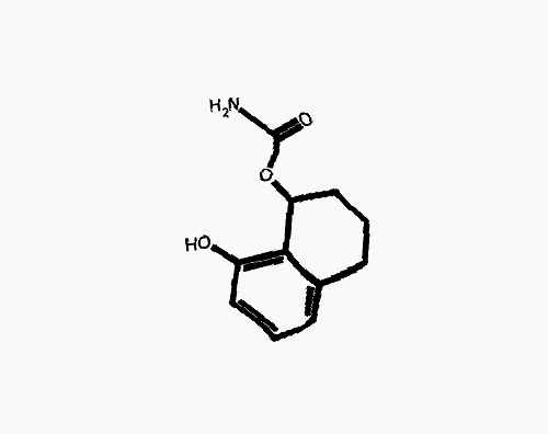 NC(=O)OC1CCCc2cccc(O)c21